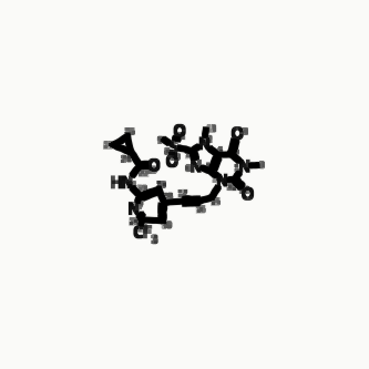 Cn1c(=O)c2c(nc(S(C)(=O)=O)n2C)n(CC#Cc2cc(NC(=O)C3CC3)nc(C(F)(F)F)c2)c1=O